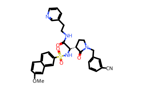 COc1ccc2ccc(S(=O)(=O)NC(C(=O)NCCc3cccnc3)[C@@H]3CCN(Cc4cccc(C#N)c4)C3=O)cc2c1